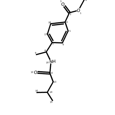 COC(=O)c1ccc(C(C)NC(=O)CC(C)C)cc1